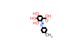 Cc1ccc(/N=N/c2c(C(=O)O)cc(O)c(O)c2O)cc1